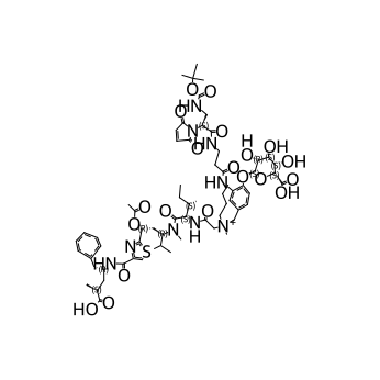 CCCC[N+](C)(CC(=O)N[C@H](C(=O)N(C)[C@H](C[C@@H](OC(C)=O)c1nc(C(=O)N[C@@H](Cc2ccccc2)C[C@H](C)C(=O)O)cs1)C(C)C)[C@@H](C)CC)Cc1ccc(O[C@@H]2O[C@H](C(=O)O)[C@@H](O)[C@H](O)[C@H]2O)c(NC(=O)CCNC(=O)[C@H](CNC(=O)OC(C)(C)C)N2C(=O)C=CC2=O)c1